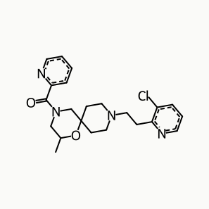 CC1CN(C(=O)c2ccccn2)CC2(CCN(CCc3ncccc3Cl)CC2)O1